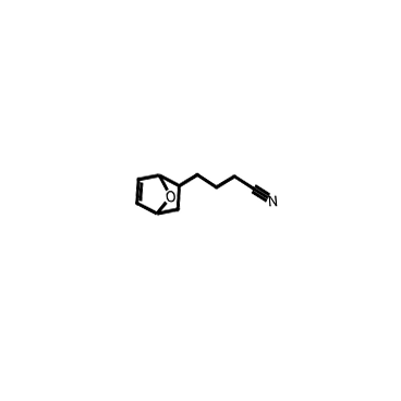 N#CCCCC1CC2C=CC1O2